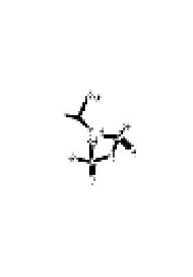 CCCC(O)C(=O)O.O=P(O)(O)OP(=O)(O)O